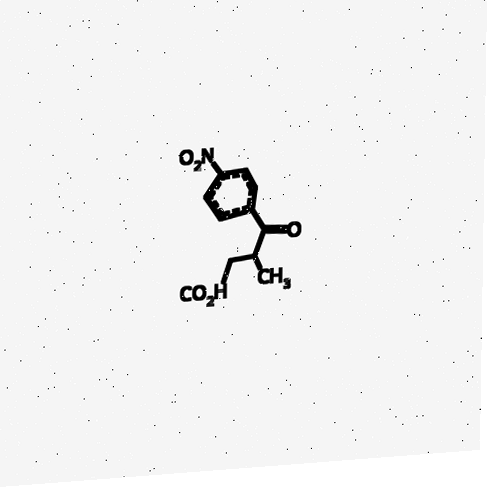 CC(CC(=O)O)C(=O)c1ccc([N+](=O)[O-])cc1